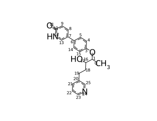 CC(Oc1ccc(-c2ccc(=O)[nH]c2)cc1)C(O)CCc1cccnc1